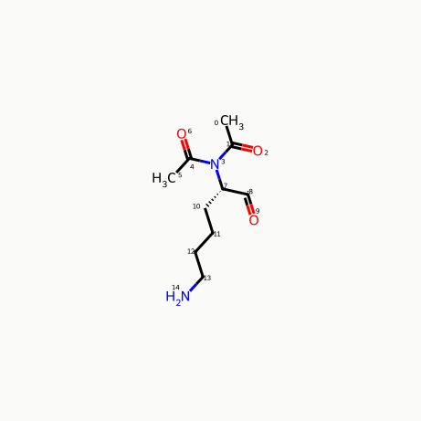 CC(=O)N(C(C)=O)[C@H]([C]=O)CCCCN